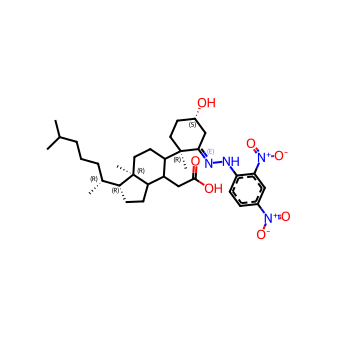 CC(C)CCC[C@@H](C)[C@H]1CCC2C(CC(=O)O)C([C@@]3(C)CC[C@H](O)C/C3=N\Nc3ccc([N+](=O)[O-])cc3[N+](=O)[O-])CC[C@@]21C